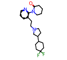 O=C1CCCCN1c1ncccc1CCN1CCC(C2CCC(F)(F)CC2)C1